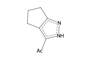 CC(=O)c1[nH]nc2c1CCC2